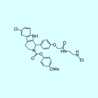 CCNCCNC(=O)COc1ccc(C2c3[nH]c4ccc(Cl)cc4c3CCN2C(=O)Oc2ccc(OC)cc2)cc1